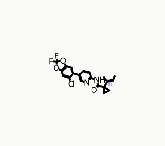 C/C=C(\C)C1(C(=O)Nc2ccc(-c3cc4c(cc3Cl)OC(F)(F)O4)cn2)CC1